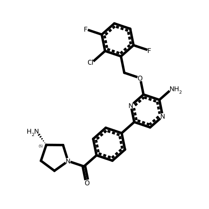 Nc1ncc(-c2ccc(C(=O)N3CC[C@H](N)C3)cc2)nc1OCc1c(F)ccc(F)c1Cl